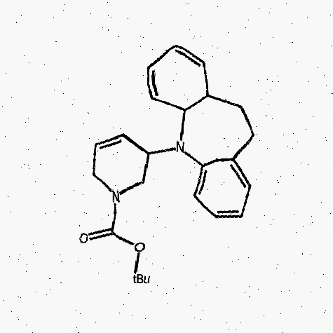 CC(C)(C)OC(=O)N1CC=CC(N2c3ccccc3CCC3C=CC=CC32)C1